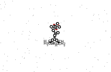 CC(C)(C)c1ccc2c(c1)c1cc(C(C)(C)C)ccc1n2-c1ccc2c(c1)c1ccccc1n2-c1ccc2c(c1)C1(c3ccccc3-2)c2ccccc2[Si](c2ccccc2)(c2ccccc2)c2ccccc21